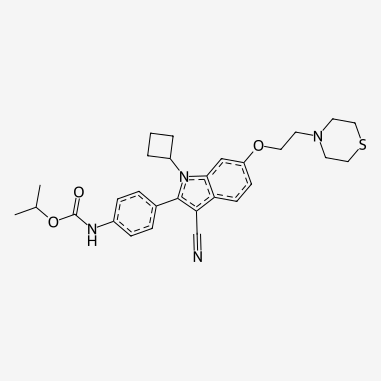 CC(C)OC(=O)Nc1ccc(-c2c(C#N)c3ccc(OCCN4CCSCC4)cc3n2C2CCC2)cc1